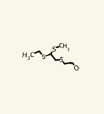 CCSC(CSCC[O])SC